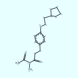 CN(C(N)=O)C(=O)[CH]Cc1ccc(OCCC2CCCC2)cc1